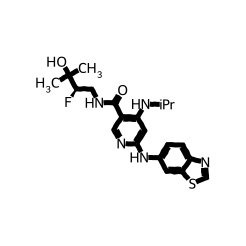 CC(C)Nc1cc(Nc2ccc3ncsc3c2)ncc1C(=O)NC[C@@H](F)C(C)(C)O